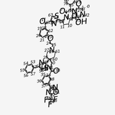 C[C@@H](C(=O)N[C@H](C(=O)N1CCC[C@H]1c1nc(C(=O)c2cccc(OCCN3CCC(CNC(=O)c4cccc(-c5noc(C(F)(F)F)n5)c4)(c4nc(-c5ccccc5)cs4)CC3)c2)cs1)C1CCCCC1)N(C)C(=O)O